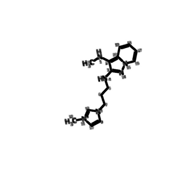 CNc1c(NCCCn2cc[n+](C)c2)nn2ccccc12